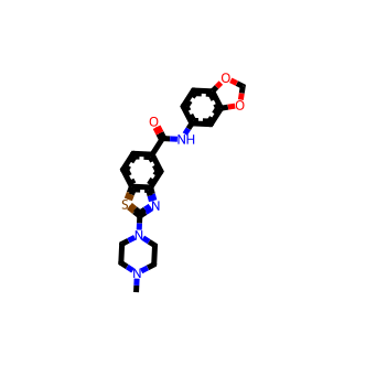 CN1CCN(c2nc3cc(C(=O)Nc4ccc5c(c4)OCO5)ccc3s2)CC1